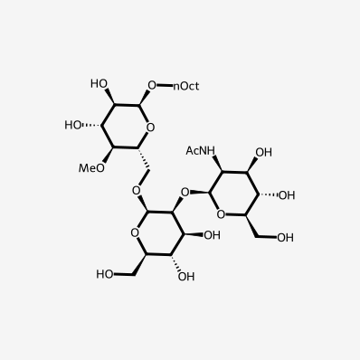 CCCCCCCCO[C@H]1O[C@H](CO[C@@H]2O[C@H](CO)[C@@H](O)[C@H](O)[C@@H]2O[C@@H]2O[C@H](CO)[C@@H](O)[C@H](O)[C@@H]2NC(C)=O)[C@@H](OC)[C@H](O)[C@H]1O